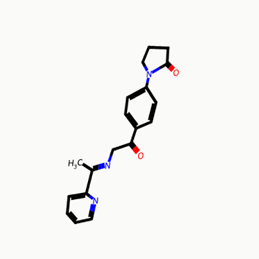 C/C(=N\CC(=O)c1ccc(N2CCCC2=O)cc1)c1ccccn1